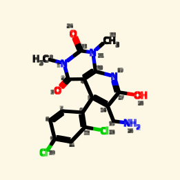 Cn1c(=O)c2c(-c3ccc(Cl)cc3Cl)c(CN)c(O)nc2n(C)c1=O